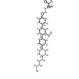 C=CC(=O)NCCOc1ccc(-c2ccc(-c3ccc(C4CCC(CCCCC)CC4)cc3)c(CC)c2)cc1